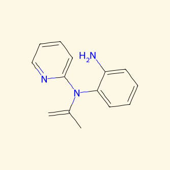 C=C(C)N(c1ccccn1)c1ccccc1N